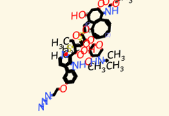 COC(=O)NC1C(=O)C[C@H](O)/C(=C/CSC(C)=O)C2=C1C#C/C=C\C#C[C@@H]2OC1OC(C)C(SC)(C(=O)c2nccc3c2[nH]c2ccc(OCCN=[N+]=[N-])cc23)C(O)C1OC1CC(OC)C(NC(C)C)CO1